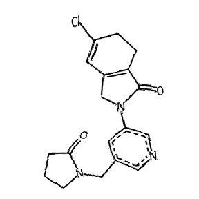 O=C1CCCN1Cc1cncc(N2CC3=C(CCC(Cl)=C3)C2=O)c1